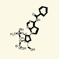 CC(C)(C)[Si](C)(C)O[C@@H]1[C@H](O[PH](=O)O)[C@@H](CO)C[C@H]1n1ccc2c(NC(=O)c3ccccc3)ncnc21